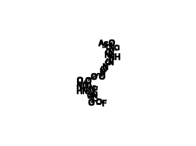 CC(=O)c1c(C)c2cnc(Nc3ccc(N4CCN(C(=O)CCOCCOCCC(=O)N(C)C(C)C(=O)NC(C(=O)N5CCC[C@H]5c5nc(C(=O)c6ccc(F)cc6)cs5)C5CCCCC5)CC4)cn3)nc2n(C2CCCC2)c1=O